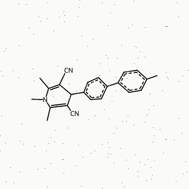 CC1=C(C#N)C(c2ccc(-c3ccc(C)cc3)cc2)C(C#N)=C(C)N1C